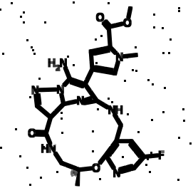 COC(=O)c1cc(C2=C(N)N3N=CC4C(=O)NC[C@H](C)Oc5ncc(F)cc5CNC2=NC43)cn1C